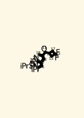 CC(C)[Si](C(C)C)(C(C)C)n1ccc2cc(C(=O)C3CC(F)(F)C3)cnc21